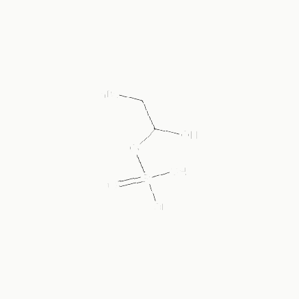 CCCCCC(O)OP(=O)(O)O